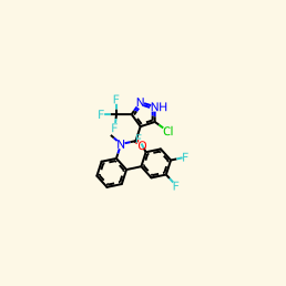 CN(C(=O)c1c(C(F)(F)F)n[nH]c1Cl)c1ccccc1-c1cc(F)c(F)cc1F